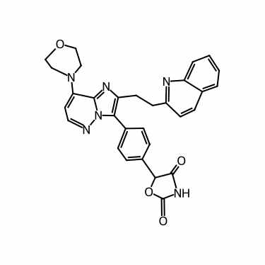 O=C1NC(=O)C(c2ccc(-c3c(CCc4ccc5ccccc5n4)nc4c(N5CCOCC5)ccnn34)cc2)O1